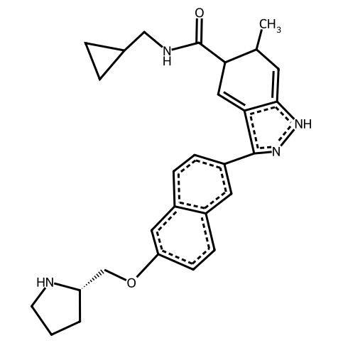 CC1C=c2[nH]nc(-c3ccc4cc(OC[C@@H]5CCCN5)ccc4c3)c2=CC1C(=O)NCC1CC1